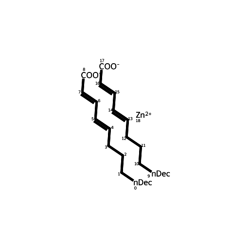 CCCCCCCCCCCCCC=CC=CC(=O)[O-].CCCCCCCCCCCCCC=CC=CC(=O)[O-].[Zn+2]